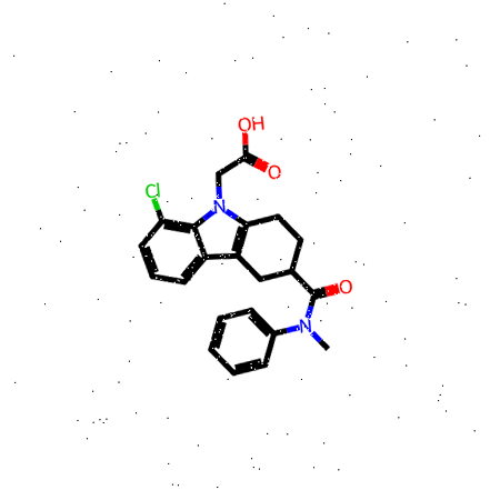 CN(C(=O)C1CCc2c(c3cccc(Cl)c3n2CC(=O)O)C1)c1ccccc1